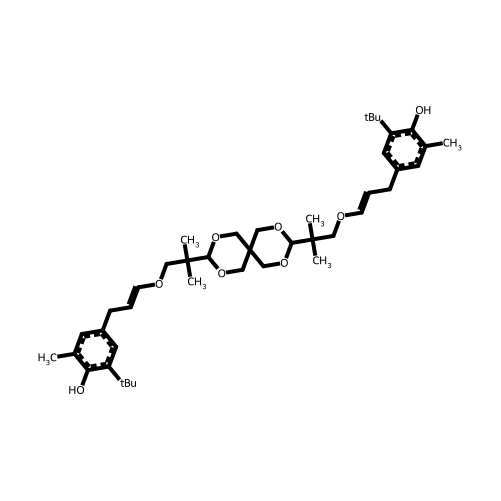 Cc1cc(CC=COCC(C)(C)C2OCC3(CO2)COC(C(C)(C)COC=CCc2cc(C)c(O)c(C(C)(C)C)c2)OC3)cc(C(C)(C)C)c1O